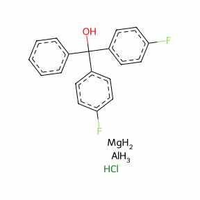 Cl.OC(c1ccccc1)(c1ccc(F)cc1)c1ccc(F)cc1.[AlH3].[MgH2]